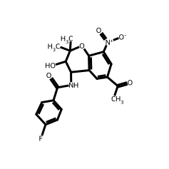 CC(=O)c1cc2c(c([N+](=O)[O-])c1)OC(C)(C)C(O)C2NC(=O)c1ccc(F)cc1